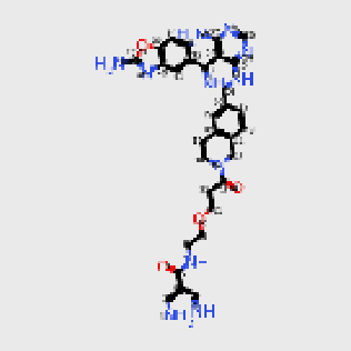 N=C/C(=C\N)C(=O)NCCOCCC(=O)N1CCc2cc(CNc3ncnc(N)c3C(=N)c3ccc4oc(N)nc4c3)ccc2C1